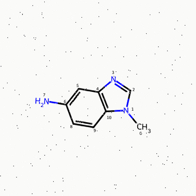 Cn1cnc2cc(N)ccc21